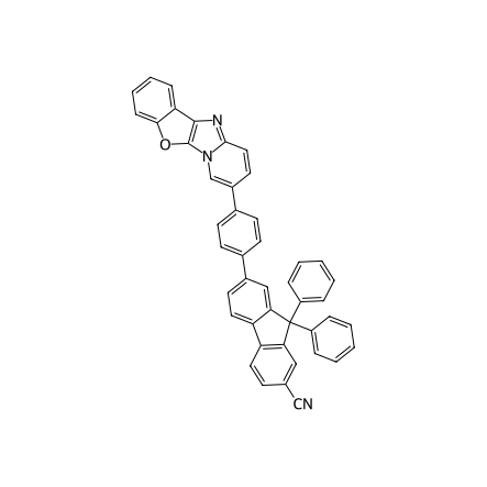 N#Cc1ccc2c(c1)C(c1ccccc1)(c1ccccc1)c1cc(-c3ccc(-c4ccc5nc6c7ccccc7oc6n5c4)cc3)ccc1-2